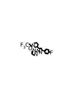 O=C(CC(F)(F)F)N1CCCC(c2cc(-c3ccc(F)cc3)nn2-c2ncccn2)C1